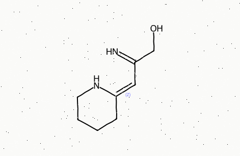 N=C(/C=C1/CCCCN1)CO